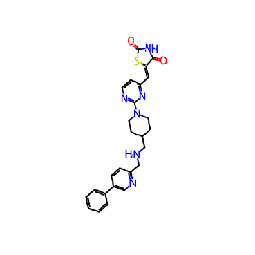 O=C1NC(=O)/C(=C/c2ccnc(N3CCC(CNCc4ccc(-c5ccccc5)cn4)CC3)n2)S1